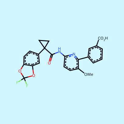 COc1ccc(NC(=O)C2(c3ccc4c(c3)OC(F)(F)O4)CC2)nc1-c1cccc(C(=O)O)c1